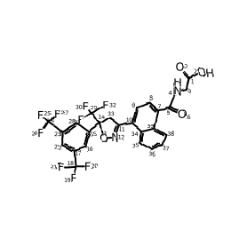 O=C(O)CNC(=O)c1ccc(C2=NOC(c3cc(C(F)(F)F)cc(C(F)(F)F)c3)(C(F)(F)F)C2)c2ccccc12